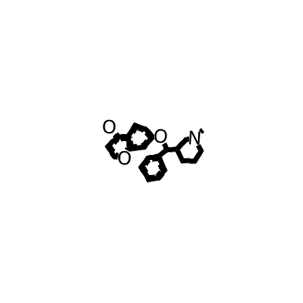 CN1CCCC(C(Oc2ccc3c(=O)ccoc3c2)c2ccccc2)C1